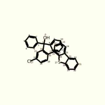 OC(c1ccccc1)(c1ccccc1)c1cc(Cl)ccc1-c1cccc2c1sc1ccccc12